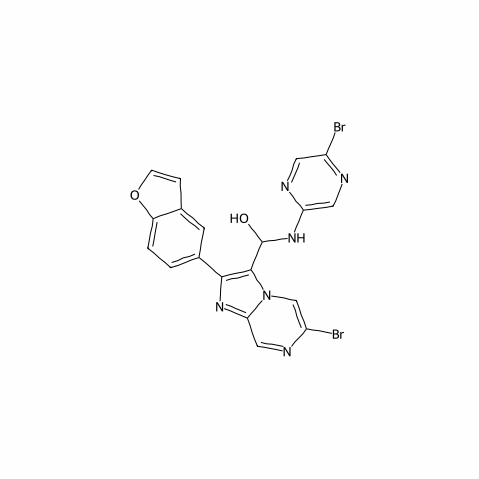 OC(Nc1cnc(Br)cn1)c1c(-c2ccc3occc3c2)nc2cnc(Br)cn12